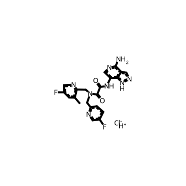 Cc1cc(F)cnc1CN(Cc1ccc(F)cn1)C(=O)C(=O)Nc1cnc(N)c2cn[nH]c12.[Cl-].[H+]